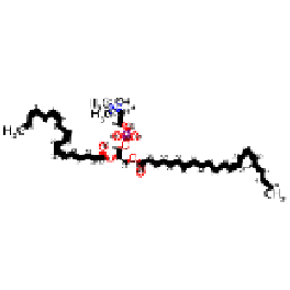 CC/C=C\C/C=C\C/C=C\C/C=C\CCCCC(=O)O[C@H](COC(=O)CCCCCCCCCCC/C=C\C/C=C\CCCCC)COP(=O)([O-])OCC[N+](C)(C)C